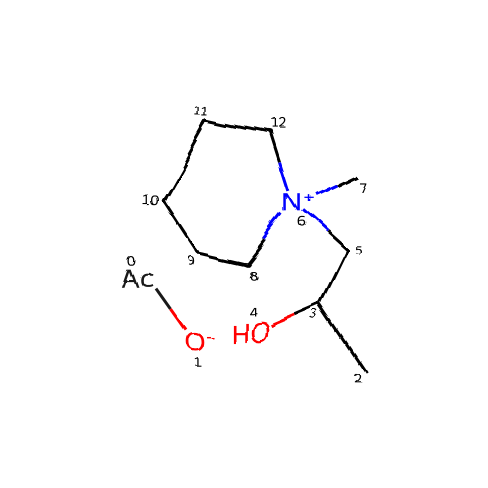 CC(=O)[O-].CC(O)C[N+]1(C)CCCCC1